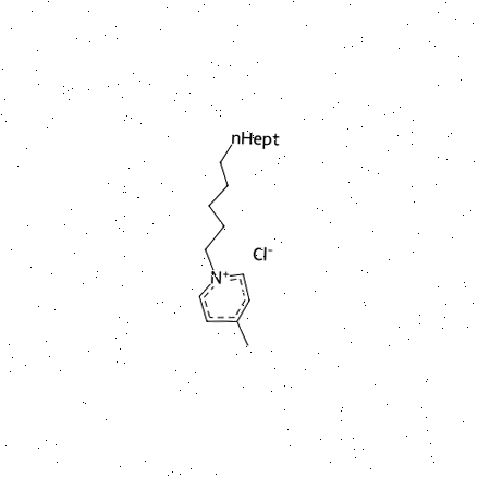 CCCCCCCCCCCC[n+]1ccc(C)cc1.[Cl-]